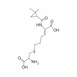 CC1(C)CC1C(=O)N/C(=C\CCCSCC(N)C(=O)O)C(=O)O